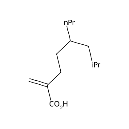 C=C(CCC(CCC)CC(C)C)C(=O)O